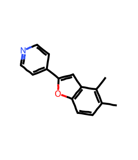 Cc1ccc2oc(-c3ccncc3)cc2c1C